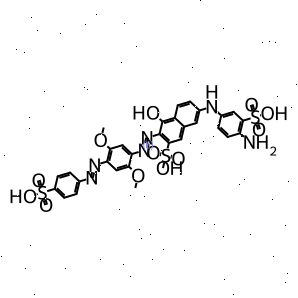 COc1cc(/N=N/c2c(S(=O)(=O)O)cc3cc(Nc4ccc(N)c(S(=O)(=O)O)c4)ccc3c2O)c(OC)cc1N=Nc1ccc(S(=O)(=O)O)cc1